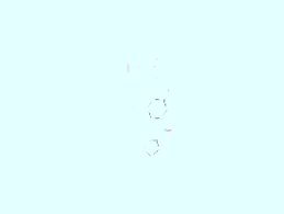 CCC(Oc1c(C)cc(C(=O)c2cccs2)cc1C)C(=O)O